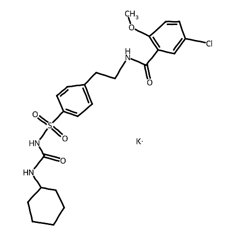 COc1ccc(Cl)cc1C(=O)NCCc1ccc(S(=O)(=O)NC(=O)NC2CCCCC2)cc1.[K]